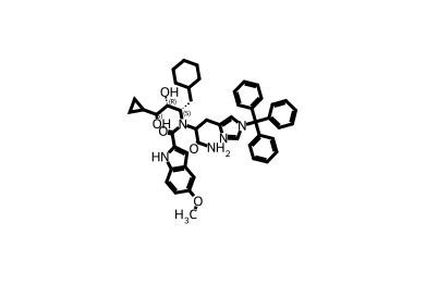 COc1ccc2[nH]c(C(=O)N(C(Cc3cn(C(c4ccccc4)(c4ccccc4)c4ccccc4)cn3)C(N)=O)[C@@H](CC3CCCCC3)[C@@H](O)[C@@H](O)C3CC3)cc2c1